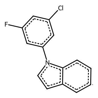 Fc1cc(Cl)cc(-n2ccc3c[c]ccc32)c1